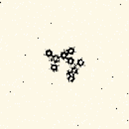 CC1(C)c2ccccc2-c2ccc(N(c3ccccc3)c3ccc(-c4cc(C5=NC(c6ccccc6)NC(c6ccccc6)=N5)cc5oc6ccccc6c45)cc3)cc21